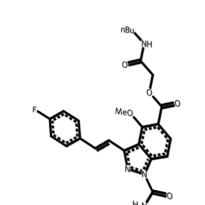 CCCCNC(=O)COC(=O)c1ccc2c(c(C=Cc3ccc(F)cc3)nn2C(N)=O)c1OC